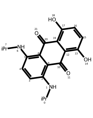 CC(C)Nc1ccc(NC(C)C)c2c1C(=O)c1c(O)ccc(O)c1C2=O